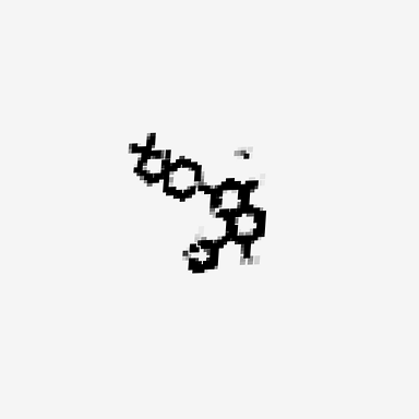 CC1(C)CCC2(CCN(c3cc(=O)c4ccc(O)c(-c5ccn[nH]5)c4o3)CC2)O1.Cl